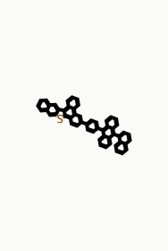 c1ccc2cc3c(cc2c1)sc1c2ccc(-c4ccc(-c5c6ccccc6c(-c6cccc7ccccc67)c6ccccc56)cc4)cc2c2ccccc2c31